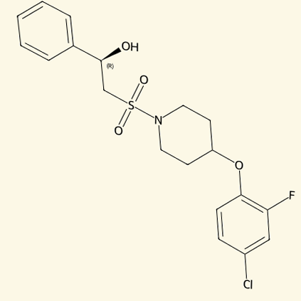 O=S(=O)(C[C@H](O)c1ccccc1)N1CCC(Oc2ccc(Cl)cc2F)CC1